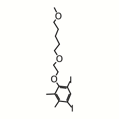 COCCCCCOCCOc1c(I)cc(I)c(C)c1C